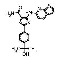 CC(C)(O)c1ccc(-c2cc(C(N)=O)c(Nc3ccc4ccsc4n3)s2)cc1